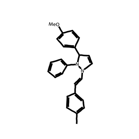 COc1ccc(C2C=CN(C=Cc3ccc(C)cc3)N2c2ccccc2)cc1